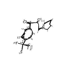 CC(CN1CCCC1)C(=O)c1ccc(C(F)(F)F)cc1